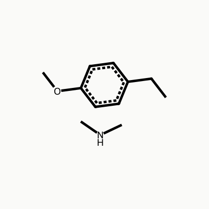 CCc1ccc(OC)cc1.CNC